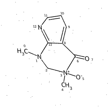 CN1C[N+](C)([O-])C(=O)c2cccnc21